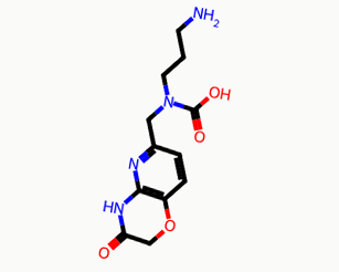 NCCCN(Cc1ccc2c(n1)NC(=O)CO2)C(=O)O